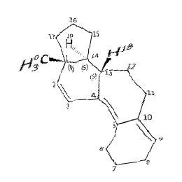 C[C@]12C=CC3=C4CCCC=C4CC[C@H]3[C@@H]1CCC2